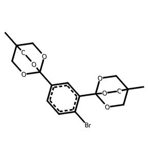 CC12COC(c3ccc(Br)c(C45OCC(C)(CO4)CO5)c3)(OC1)OC2